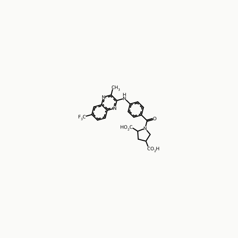 Cc1nc2cc(C(F)(F)F)ccc2nc1Nc1ccc(C(=O)N2CC(C(=O)O)CC2C(=O)O)cc1